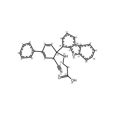 N#CC1C=C(c2ccccc2)C=CC1(NCCC(=O)O)c1cccc2c1oc1ccccc12